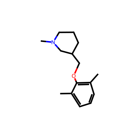 Cc1cccc(C)c1OCC1CCCN(C)C1